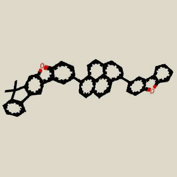 CC1(C)c2ccccc2-c2cc3c(cc21)oc1ccc(-c2ccc4ccc5c(-c6ccc7oc8ccccc8c7c6)ccc6ccc2c4c65)cc13